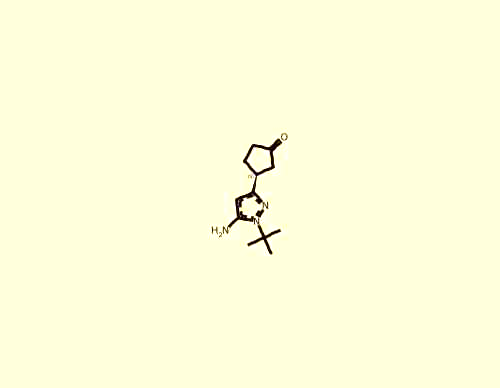 CC(C)(C)n1nc([C@H]2CCC(=O)C2)cc1N